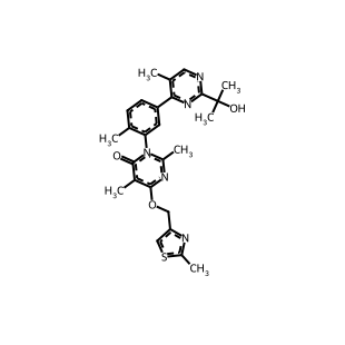 Cc1nc(COc2nc(C)n(-c3cc(-c4nc(C(C)(C)O)ncc4C)ccc3C)c(=O)c2C)cs1